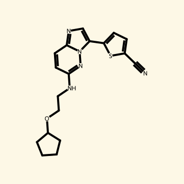 N#Cc1ccc(-c2cnc3ccc(NCCOC4CCCC4)nn23)s1